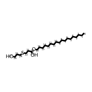 CCCCCCCCCCCCCCCCCCOC(O)CCSCCCO